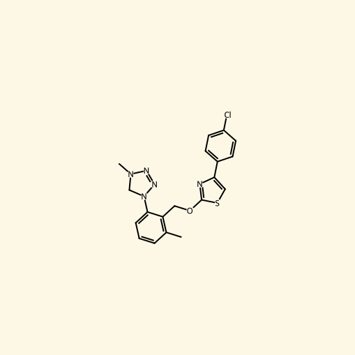 Cc1cccc(N2CN(C)N=N2)c1COc1nc(-c2ccc(Cl)cc2)cs1